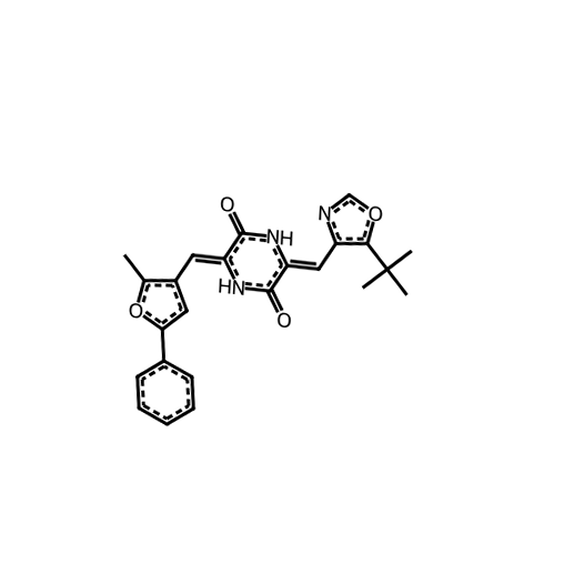 Cc1oc(-c2ccccc2)cc1/C=c1\[nH]c(=O)/c(=C/c2ncoc2C(C)(C)C)[nH]c1=O